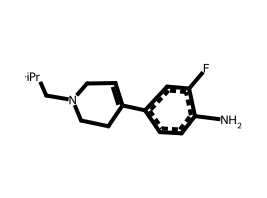 C[C](C)CN1CC=C(c2ccc(N)c(F)c2)CC1